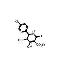 CCOC(=O)C1=C(O)C(C)C(c2ccc(Cl)cn2)NC1=O